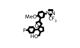 COc1ccc(-n2ccnc2C(F)(F)F)cc1C1=CC2(CCC(CO)C2c2ccc(F)cc2)OC1